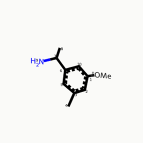 COc1cc(C)cc(C(C)N)c1